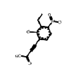 CCc1c([N+](=O)[O-])ccc(C#CC(=O)O)c1Cl